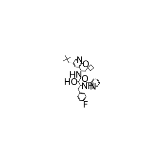 CC(C)(C)Cc1cnc2c(c1)[C@@H](NC[C@@H](O)[C@H](Cc1ccc(F)cc1)NC(=O)c1ccccn1)CC1(CCC1)O2